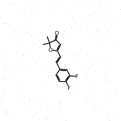 CC1(C)OC(C=Cc2ccc(F)c(F)c2)=CC1=O